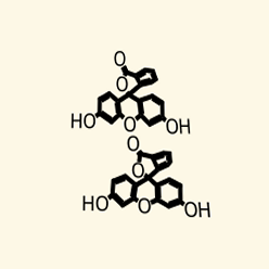 O=C1OC2(c3ccc(O)cc3Oc3cc(O)ccc32)c2ccccc21.O=C1OC2(c3ccc(O)cc3Oc3cc(O)ccc32)c2ccccc21